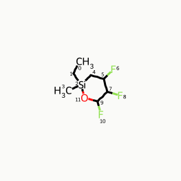 CC[Si]1(C)CC(F)C(F)C(F)O1